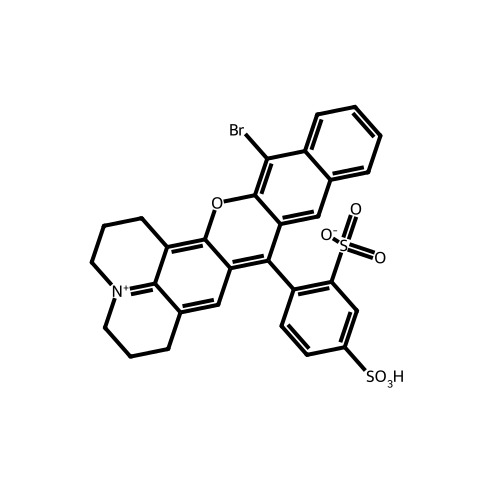 O=S(=O)([O-])c1cc(S(=O)(=O)O)ccc1C1=c2cc3c4c(c2Oc2c1cc1ccccc1c2Br)CCC[N+]=4CCC3